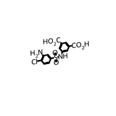 Nc1cc(S(=O)(=O)Nc2cc(C(=O)O)cc(C(=O)O)c2)ccc1Cl